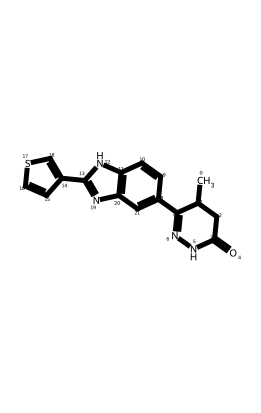 CC1CC(=O)NN=C1c1ccc2[nH]c(-c3ccsc3)nc2c1